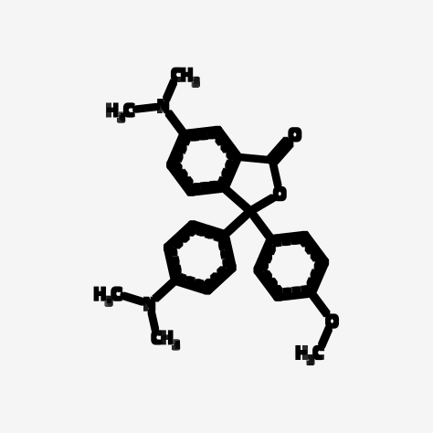 COc1ccc(C2(c3ccc(N(C)C)cc3)OC(=O)c3cc(N(C)C)ccc32)cc1